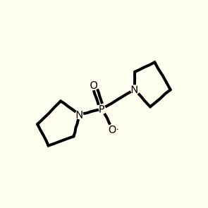 [O]P(=O)(N1CCCC1)N1CCCC1